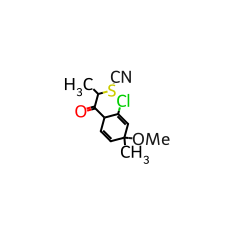 COC1(C)C=CC(C(=O)C(C)SC#N)C(Cl)=C1